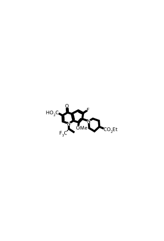 CCOC(=O)C1CCN(c2c(F)cc3c(=O)c(C(=O)O)cn([C@H](C)C(F)(F)F)c3c2OC)CC1